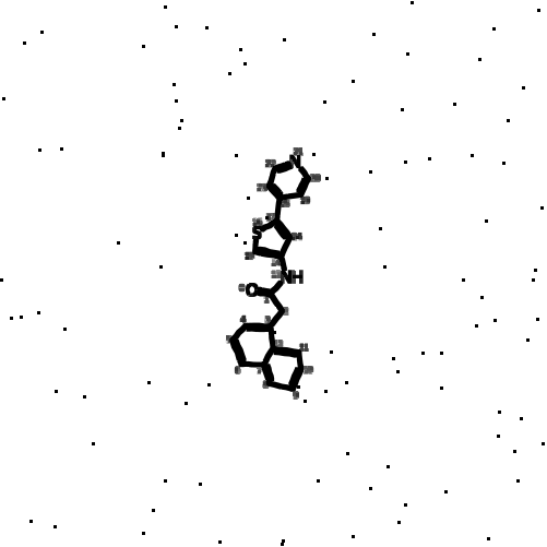 O=C(Cc1cccc2ccccc12)Nc1csc(-c2ccncc2)c1